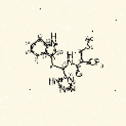 CC(=O)SCC(C(=O)NC(Cc1c[nH]c2ccccc12)c1nnn[nH]1)C(F)(F)F